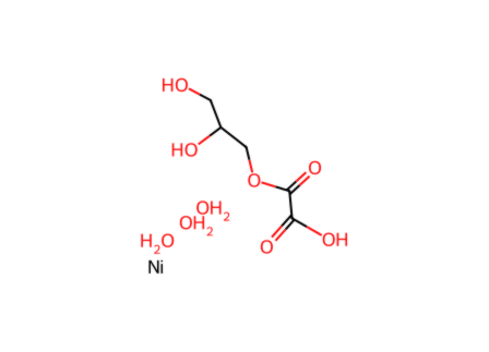 O.O.O.O=C(O)C(=O)OCC(O)CO.[Ni]